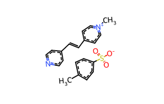 C[n+]1ccc(C=Cc2ccncc2)cc1.Cc1ccc(S(=O)(=O)[O-])cc1